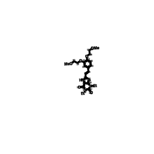 CCn1c(=O)c2[nH]c(C=Cc3ccc(OCCOC)c(OCCOC)c3)nc2n(CC)c1=O